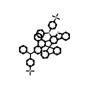 C[Si](C)(C)c1ccc(C(c2ccccc2)c2ccc3c4c(c5ccccc5c3c2)-c2c(cc3c(sc5ccccc53)c2N(c2ccccc2)c2ccc([Si](C)(C)C)cc2)C42c3ccccc3-c3cccnc32)cc1